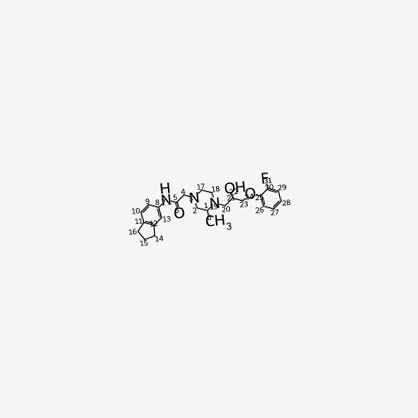 CC1CN(CC(=O)Nc2ccc3c(c2)CCC3)CCN1CC(O)COc1ccccc1F